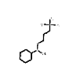 CN(SCCCS(C)(C)C)C1CCCCC1